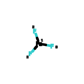 [F][Pa]([F])[F]